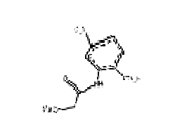 COCC(=O)Nc1cc([N+](=O)[O-])ccc1C(=O)O